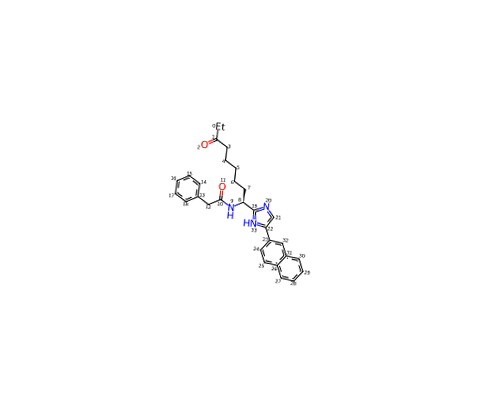 CCC(=O)CCCCC[C@H](NC(=O)Cc1ccccc1)c1ncc(-c2ccc3ccccc3c2)[nH]1